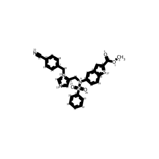 COC(=O)c1cc2cc(N(Cc3cncn3Cc3ccc(C#N)cc3)S(=O)(=O)c3ccccc3)ccc2s1